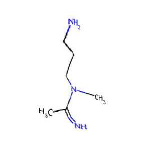 CC(=N)N(C)CCCN